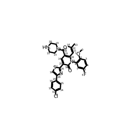 COc1ccc(F)cc1-n1c(C=C(C)C)c(C(=O)N2CCNCC2)cc(-c2nc(-c3ccc(Cl)cc3)cs2)c1=O